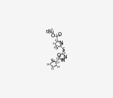 CC(C)(C)OC(=O)c1csc(Sc2nnc(-c3cccs3)o2)n1